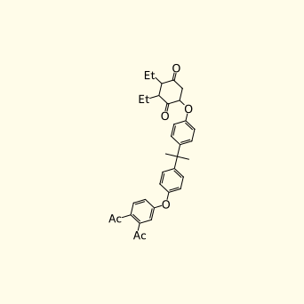 CCC1C(=O)CC(Oc2ccc(C(C)(C)c3ccc(Oc4ccc(C(C)=O)c(C(C)=O)c4)cc3)cc2)C(=O)C1CC